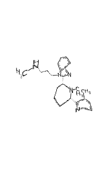 CNCCCn1c([C@H]2CCC[C@@H](c3ncccc3C)N2C)nc2ccccc21